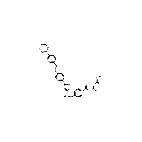 CCOC(=O)OC(C)OC(=O)c1ccc(CN(C)c2nc(-c3ccc(OCc4ccc(C5CCCCC5)cc4)cc3)cs2)cc1